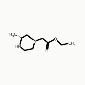 CCOC(=O)CN1CCN[C@H](C)C1